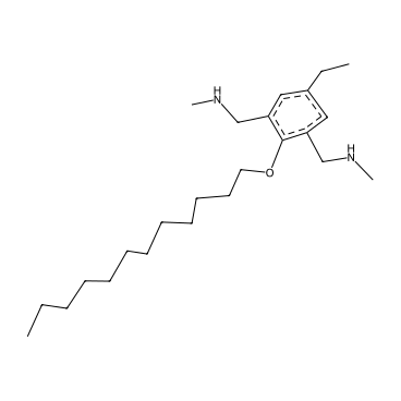 CCCCCCCCCCCCOc1c(CNC)cc(CC)cc1CNC